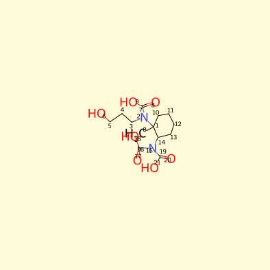 CC1(N(CCCO)C(=O)O)CCCCC1N(C(=O)O)C(=O)O